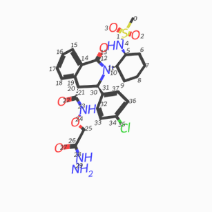 CS(=O)(=O)N[C@H]1CCCC[C@@H]1N1C(=O)c2ccccc2[C@@H](C(=O)NOCC(=O)NN)[C@@H]1c1ccc(Cl)cc1